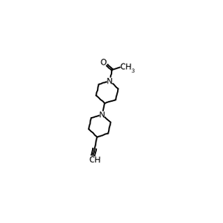 C#CC1CCN(C2CCN(C(C)=O)CC2)CC1